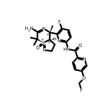 CC1(C)C(N)=N[C@](C)(c2nc(NC(=O)c3ccc(OCF)cn3)ccc2F)[C@H]2CCN=[S@]21=O